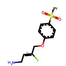 CC(C)S(=O)(=O)c1ccc(OC/C(F)=C/CN)cc1